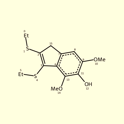 CCSC1=C(SCC)c2c(cc(OC)c(O)c2OC)C1